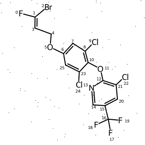 FC(Br)=CCOc1cc(Cl)c(Oc2ncc(C(F)(F)F)cc2Cl)c(Cl)c1